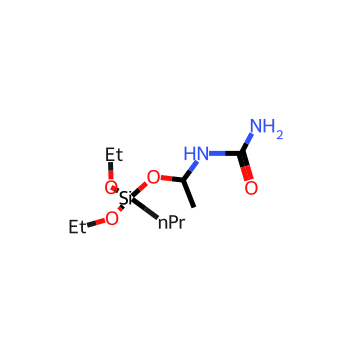 CCC[Si](OCC)(OCC)OC(C)NC(N)=O